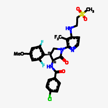 COc1cc(F)c([C@@H]2CN(c3nccc(NCCS(C)(=O)=O)c3C(F)(F)F)C(=O)[C@H]2NC(=O)c2ccc(Cl)cc2)c(F)c1